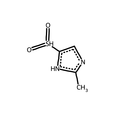 Cc1ncc([SH](=O)=O)[nH]1